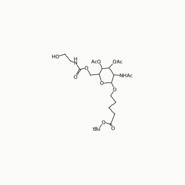 CC(=O)NC1C(OCCCCC(=O)OC(C)(C)C)OC(COC(=O)NCCO)C(OC(C)=O)C1OC(C)=O